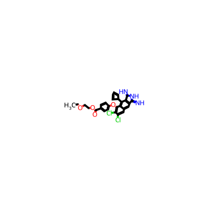 CCOCCOC(=O)c1ccc(Oc2c(Cl)c(Cl)cc3cc4c(c(C5C=CC=C5)c23)C(=N)NC4=N)cc1